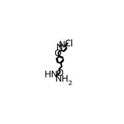 N=C(N)OCCc1ccc(Oc2ccc(Cl)nn2)cc1